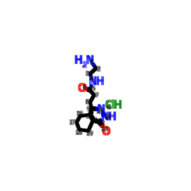 Cl.NCCNC(=O)CCc1n[nH]c(=O)c2c1CCCC2